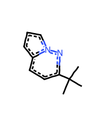 CC(C)(C)c1ccc2cccn2n1